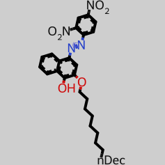 CCCCCCCCCCCCCCCCCCOc1cc(/N=N/c2ccc([N+](=O)[O-])cc2[N+](=O)[O-])c2ccccc2c1O